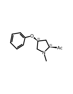 CC(=O)[C@@H]1C[C@H](Oc2ccccc2)CN1C